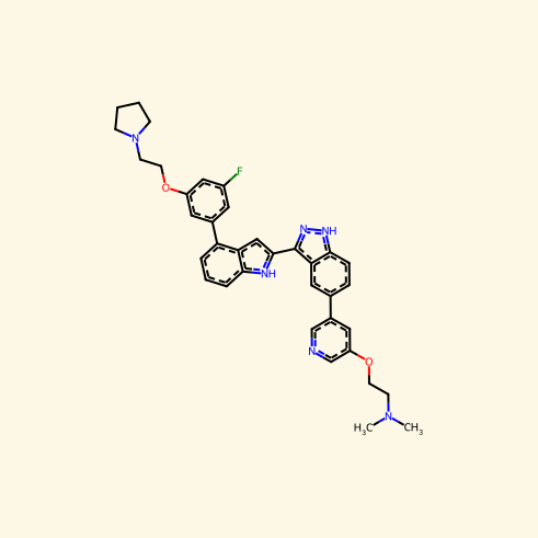 CN(C)CCOc1cncc(-c2ccc3[nH]nc(-c4cc5c(-c6cc(F)cc(OCCN7CCCC7)c6)cccc5[nH]4)c3c2)c1